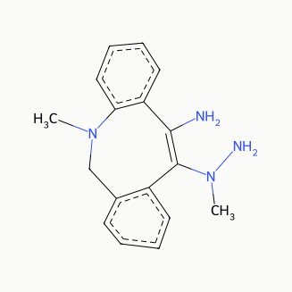 CN(N)/C1=C(\N)c2ccccc2N(C)Cc2ccccc21